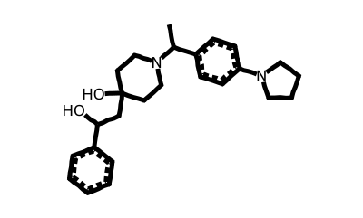 CC(c1ccc(N2CCCC2)cc1)N1CCC(O)(CC(O)c2ccccc2)CC1